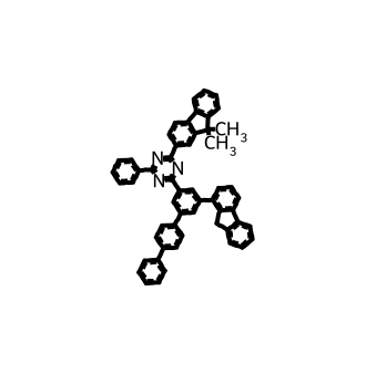 CC1(C)c2ccccc2-c2ccc(-c3nc(-c4ccccc4)nc(-c4cc(-c5ccc(-c6ccccc6)cc5)cc(-c5cccc6c5Cc5ccccc5-6)c4)n3)cc21